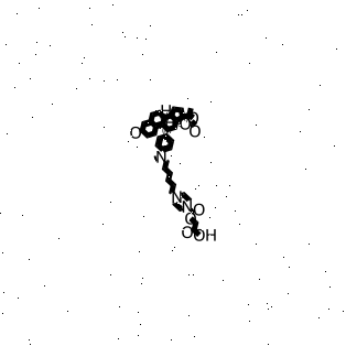 CC(=O)O[C@]1(C(C)=O)CC[C@H]2[C@@H]3CCC4=CC(=O)CCC4=C3[C@@H](c3ccc(N(C)CCCCCCN4CCN(C(=O)OCC(=O)O)CC4)cc3)C[C@@]21C